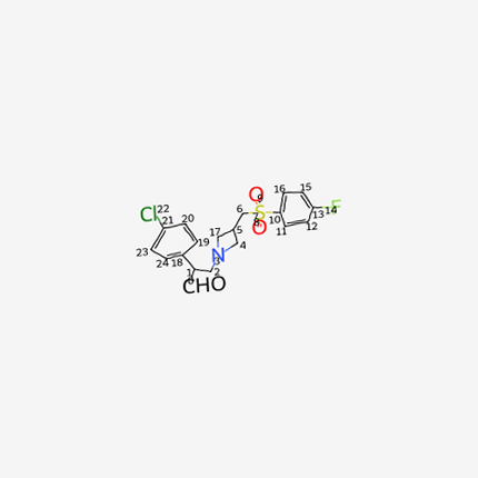 O=CC(CN1CC(CS(=O)(=O)c2ccc(F)cc2)C1)c1ccc(Cl)cc1